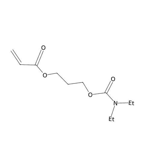 C=CC(=O)OCCCOC(=O)N(CC)CC